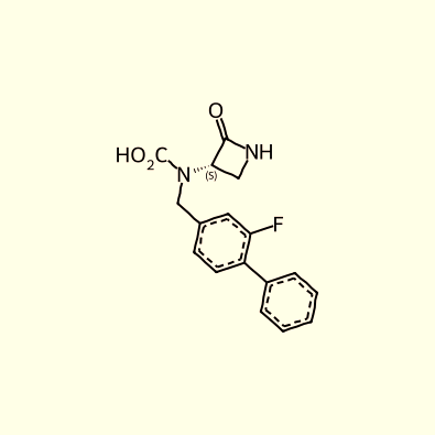 O=C1NC[C@@H]1N(Cc1ccc(-c2ccccc2)c(F)c1)C(=O)O